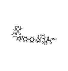 COC(=O)N[C@H](C(=O)N1CCC[C@@H]1c1ncc(-c2ccc(-c3ccc(-c4cnc([C@@H]5CCCN5C(=O)[C@H](C(C)C)N(C)C(=O)O)[nH]4)cc3)cc2)[nH]1)C(C)C